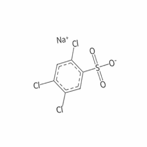 O=S(=O)([O-])c1cc(Cl)c(Cl)cc1Cl.[Na+]